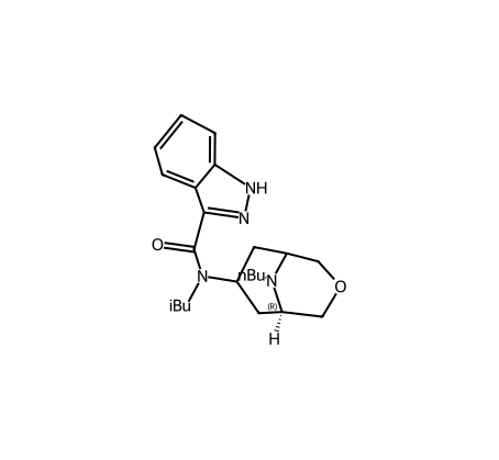 CCCCN1C2COC[C@H]1CC(N(C(=O)c1n[nH]c3ccccc13)C(C)CC)C2